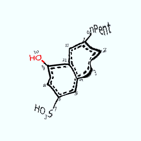 CCCCCc1ccc2cc(S(=O)(=O)O)cc(O)c2c1